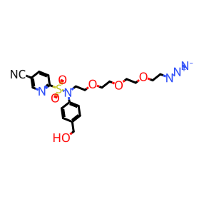 N#Cc1ccc(S(=O)(=O)N(CCOCCOCCOCCN=[N+]=[N-])c2ccc(CO)cc2)nc1